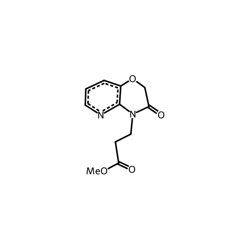 COC(=O)CCN1C(=O)COc2cccnc21